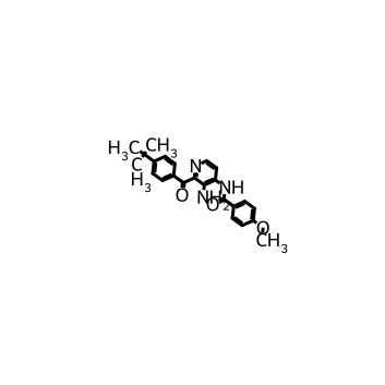 COc1ccc(C(=O)Nc2ccnc(C(=O)c3ccc(C(C)(C)C)cc3)c2N)cc1